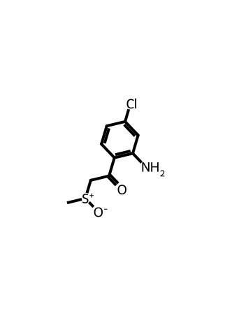 C[S+]([O-])CC(=O)c1ccc(Cl)cc1N